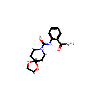 COC(=O)c1ccccc1NC(=O)N1CCC2(CC1)OCCO2